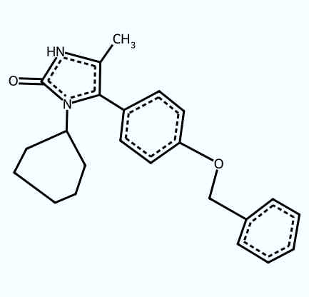 Cc1[nH]c(=O)n(C2CCCCC2)c1-c1ccc(OCc2ccccc2)cc1